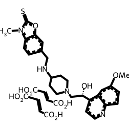 COc1ccc2nccc([C@@H](O)CN3CCC(NCc4ccc5c(c4)oc(=S)n5C)CC3)c2c1.O=C(O)/C=C/C(=O)O.O=C(O)/C=C/C(=O)O